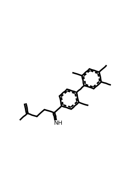 C=C(C)CCC(=N)c1ccc(-c2cc(C)c(C)cc2C)c(C)c1